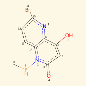 CPn1c(=O)cc(O)c2nc(Br)ccc21